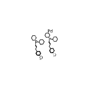 COc1ccc(CC=CP(C2CCCCC2)C2CCCCC2)cc1.COc1ccc(CC=CP(C2CCCCC2)C2CCCCC2)cc1.[Pd]